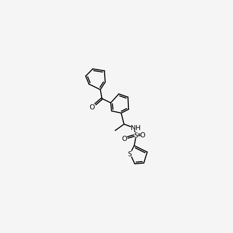 CC(NS(=O)(=O)c1cccs1)c1cccc(C(=O)c2ccccc2)c1